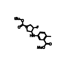 COC(=O)c1cc(N[C@H]2CN(C(=O)OC(C)(C)C)C[C@H]2F)ccc1C